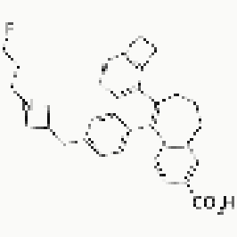 O=C(O)c1ccc2c(c1)CCCC(c1cccc3c1CC3)=C2c1ccc(CC2CN(CCCF)C2)cc1